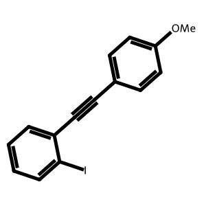 COc1ccc(C#Cc2ccccc2I)cc1